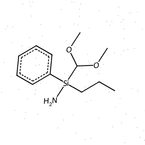 CCC[Si](N)(c1ccccc1)C(OC)OC